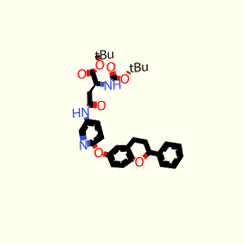 CC(C)(C)OC(=O)N[C@@H](CC(=O)Nc1ccc(Oc2ccc3c(c2)CCC(c2ccccc2)O3)nc1)C(=O)OC(C)(C)C